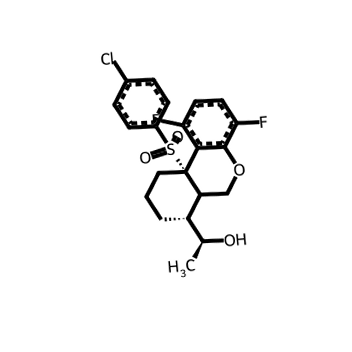 C[C@H](O)[C@@H]1CCC[C@@]2(S(=O)(=O)c3ccc(Cl)cc3)c3c(F)ccc(F)c3OCC12